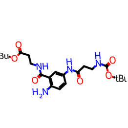 CC(C)(C)OC(=O)CCNC(=O)c1cc(NC(=O)CCNC(=O)OC(C)(C)C)ccc1N